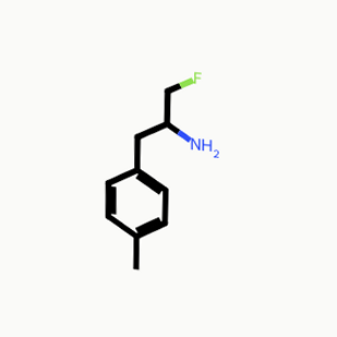 Cc1ccc(CC(N)CF)cc1